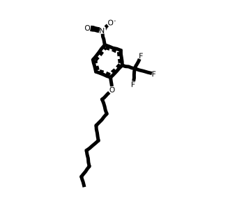 CCCCCCCCOc1ccc([N+](=O)[O-])cc1C(F)(F)F